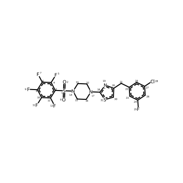 O=S(=O)(c1c(F)c(F)c(F)c(F)c1F)N1CCN(c2nc(Cc3cc(F)cc(Cl)c3)cs2)CC1